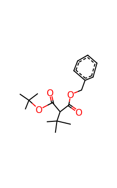 CC(C)(C)OC(=O)C(C(=O)OCc1ccccc1)C(C)(C)C